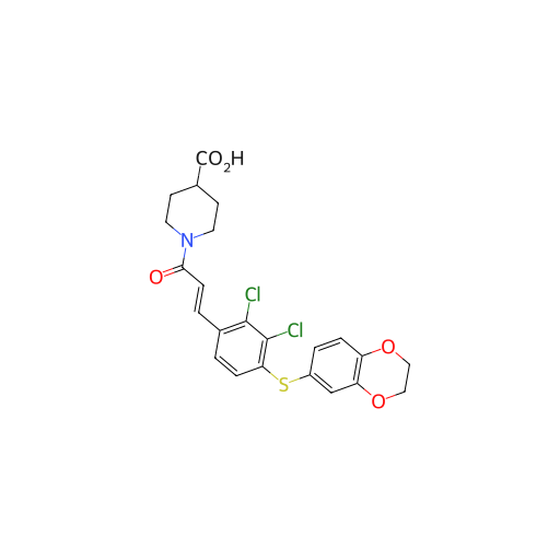 O=C(O)C1CCN(C(=O)C=Cc2ccc(Sc3ccc4c(c3)OCCO4)c(Cl)c2Cl)CC1